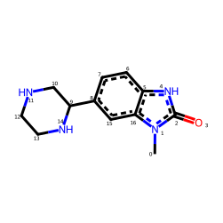 Cn1c(=O)[nH]c2ccc(C3CNCCN3)cc21